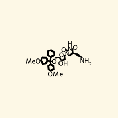 COc1ccc(C(OC[C@H]2O[C@@H](n3cc(C#CCN)c(=O)[nH]c3=O)CC2O)(c2ccccc2)c2ccc(OC)cc2)cc1